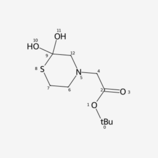 CC(C)(C)OC(=O)CN1CCSC(O)(O)C1